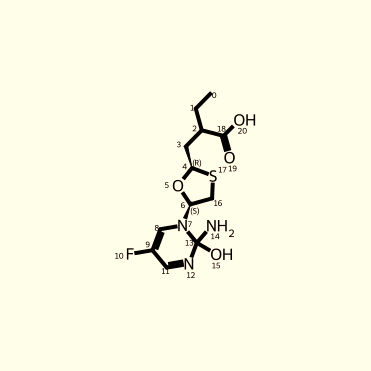 CCC(C[C@@H]1O[C@H](N2C=C(F)C=NC2(N)O)CS1)C(=O)O